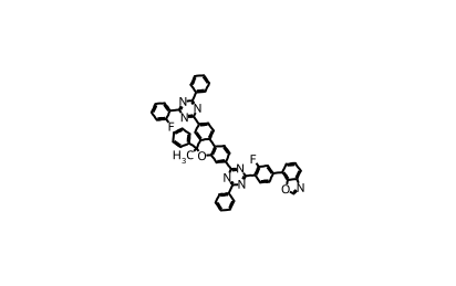 CC1(c2ccccc2)Oc2cc(-c3nc(-c4ccccc4)nc(-c4ccc(-c5cccc6ncoc56)cc4F)n3)ccc2-c2ccc(-c3nc(-c4ccccc4)nc(-c4ccccc4F)n3)cc21